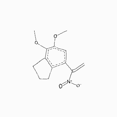 C=C(c1cc(OC)c(OC)c2c1CCC2)[N+](=O)[O-]